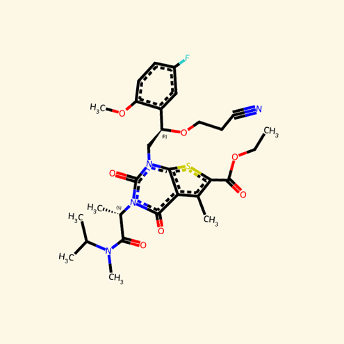 CCOC(=O)c1sc2c(c1C)c(=O)n([C@@H](C)C(=O)N(C)C(C)C)c(=O)n2C[C@H](OCCC#N)c1cc(F)ccc1OC